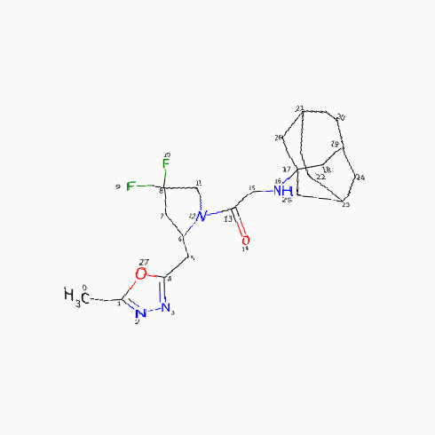 Cc1nnc(CC2CC(F)(F)CN2C(=O)CNC23CC4CC(CC(C4)C2)C3)o1